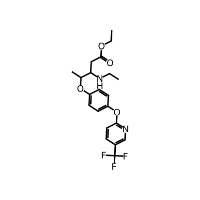 CCNC(CC(=O)OCC)C(C)Oc1ccc(Oc2ccc(C(F)(F)F)cn2)cc1